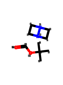 C1CN2CCN12.CC(C)(C)OC=O